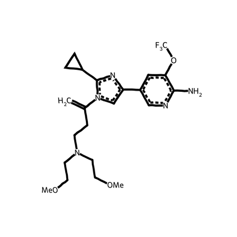 C=C(CCN(CCOC)CCOC)n1cc(-c2cnc(N)c(OC(F)(F)F)c2)nc1C1CC1